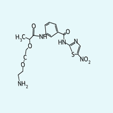 CC(OCCOCCN)C(=O)Nc1cccc(C(=O)Nc2ncc([N+](=O)[O-])s2)c1